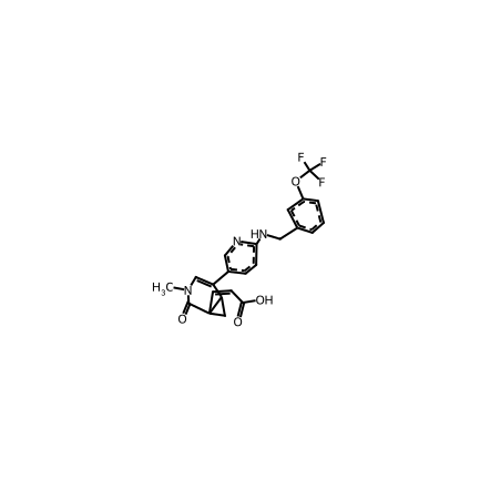 CN1C=C(c2ccc(NCc3cccc(OC(F)(F)F)c3)nc2)C2CC2(C=CC(=O)O)C1=O